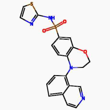 O=S(=O)(Nc1nccs1)c1ccc2c(c1)OCCN2c1cccc2ccncc12